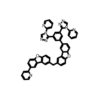 C1=CC2Oc3ccc(Cc4ccc5oc6ccc(-c7ccccn7)cc6c5c4)cc3C2C=C1c1cc(-c2nncn2-c2ccccn2)cc(-c2nncn2-c2ccccn2)c1